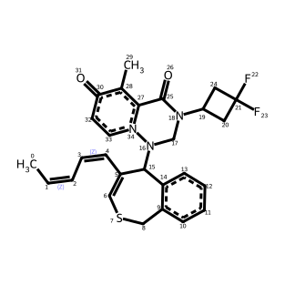 C/C=C\C=C/C1=CSCc2ccccc2C1N1CN(C2CC(F)(F)C2)C(=O)c2c(C)c(=O)ccn21